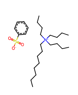 CCCCCCCC[N+](CCCC)(CCCC)CCCC.O=S(=O)([O-])c1ccccc1